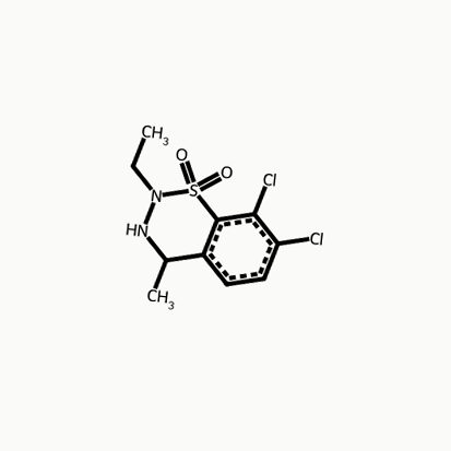 CCN1NC(C)c2ccc(Cl)c(Cl)c2S1(=O)=O